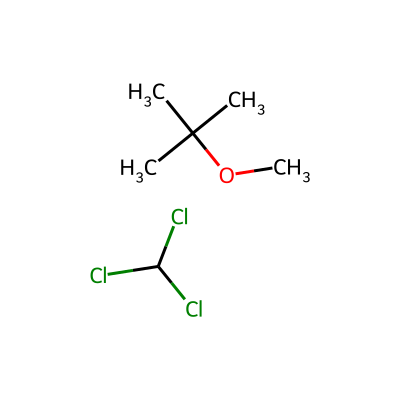 COC(C)(C)C.ClC(Cl)Cl